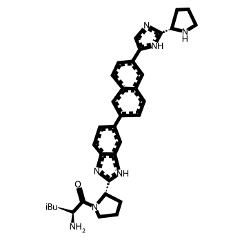 CC[C@H](C)[C@H](N)C(=O)N1CCC[C@H]1c1nc2ccc(-c3ccc4cc(-c5cnc([C@@H]6CCCN6)[nH]5)ccc4c3)cc2[nH]1